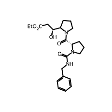 CCOC(=O)C[C@H](O)C1CCCN1C(=O)[C@@H]1CCCN1C(=O)NCc1ccccc1